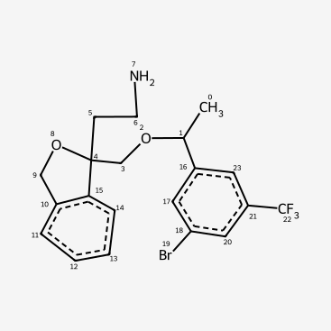 CC(OCC1(CCN)OCc2ccccc21)c1cc(Br)cc(C(F)(F)F)c1